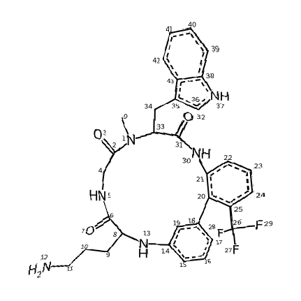 CN1C(=O)CNC(=O)C(CCCN)Nc2cccc(c2)-c2c(cccc2C(F)(F)F)NC(=O)C1Cc1c[nH]c2ccccc12